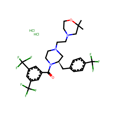 CC1(C)CN(CCN2CCN(C(=O)c3cc(C(F)(F)F)cc(C(F)(F)F)c3)[C@H](Cc3ccc(C(F)(F)F)cc3)C2)CCO1.Cl.Cl